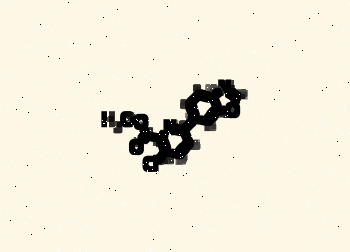 COC(=O)c1nc(-c2ccc3ncoc3c2)ccc1Cl